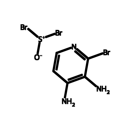 Nc1ccnc(Br)c1N.[O-][S+](Br)Br